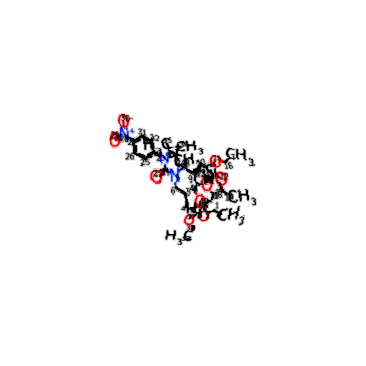 CCO[Si](CCCN(CCC[Si](OCC)(OCC)OCC)C(=O)N(c1ccc([N+](=O)[O-])cc1)[Si](C)(C)C)(OCC)OCC